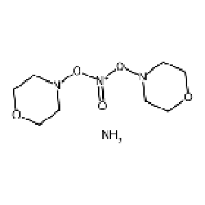 N.O=[N+](ON1CCOCC1)ON1CCOCC1